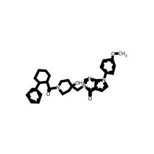 COc1ccc(-n2ccc3c(=O)n(CC4(O)CCN(C(=O)C5CCCCC5c5ccccc5)CC4)cnc32)cc1